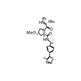 CO[C@H]1C[C@H](C(=O)N[C@H](C)c2ccc(-c3scnc3C)cc2)N(C(=O)[C@H](NC(C)C)C(C)(C)C)C1